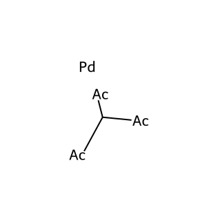 CC(=O)C(C(C)=O)C(C)=O.[Pd]